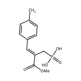 COC(=O)/C(=C/c1ccc(C)cc1)CP(=O)(O)O